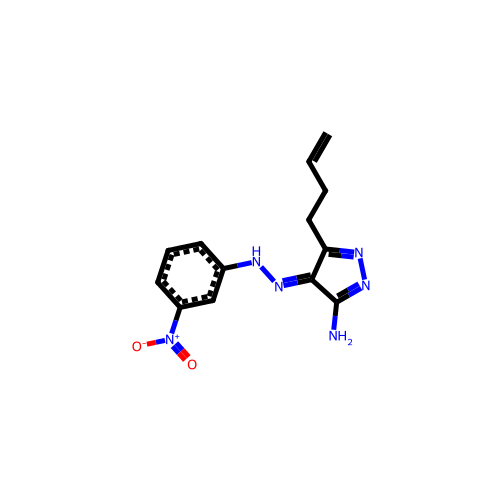 C=CCCC1=NN=C(N)/C1=N/Nc1cccc([N+](=O)[O-])c1